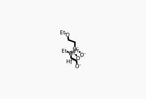 CC(C)[O-].CC(C)[O-].CCOCC[O-].CCOCC[O-].[Hf+4]